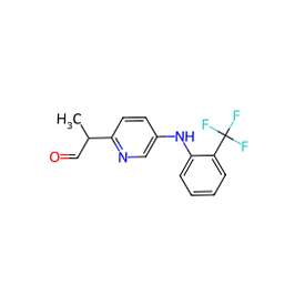 CC(C=O)c1ccc(Nc2ccccc2C(F)(F)F)cn1